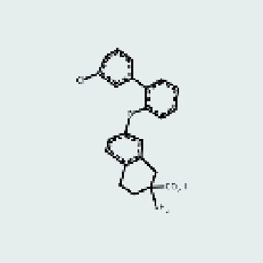 NC1(C(=O)O)CCc2ccc(Oc3ccccc3-c3cccc(Cl)c3)cc2C1